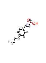 CCCc1ccc(/C=C/C(=O)O)cc1